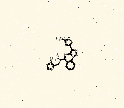 Cc1cc(-c2nnn3c2nc(N(C)Cc2ncnn2C)c2ccccc23)no1